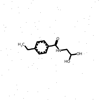 CCc1ccc(C(=O)NCC(O)O)cc1